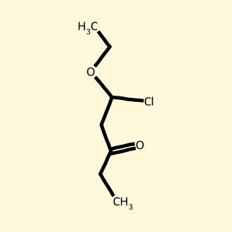 CCOC(Cl)CC(=O)CC